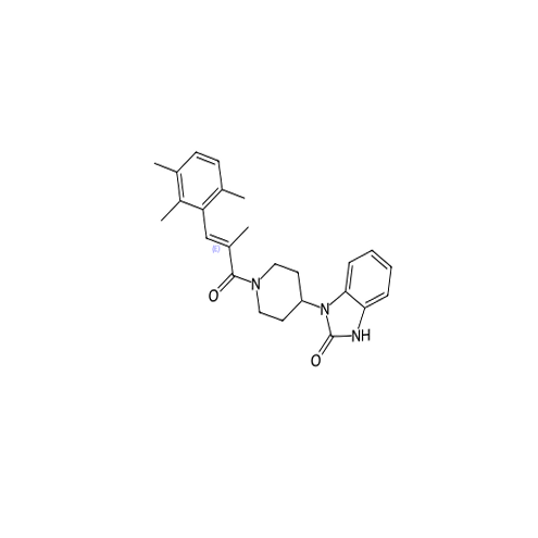 C/C(=C\c1c(C)ccc(C)c1C)C(=O)N1CCC(n2c(=O)[nH]c3ccccc32)CC1